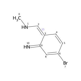 CN/C=C1/C=CC(Br)=CC1=N